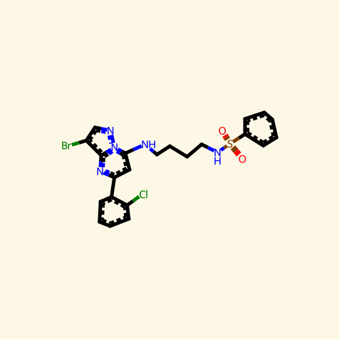 O=S(=O)(NCCCCNc1cc(-c2ccccc2Cl)nc2c(Br)cnn12)c1ccccc1